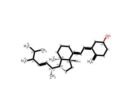 C=C1CC[C@H](O)C/C1=C/C=C1\CCC[C@]2(C)[C@@H]([C@H](C)/C=C/C(C)C(C)C)CC[C@@H]12